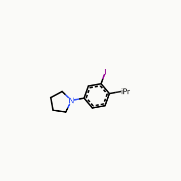 CC(C)c1ccc(N2CCCC2)cc1I